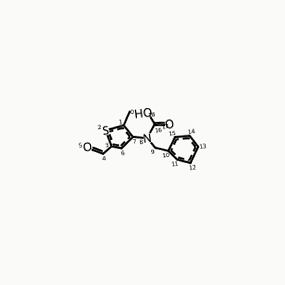 Cc1sc(C=O)cc1N(Cc1ccccc1)C(=O)O